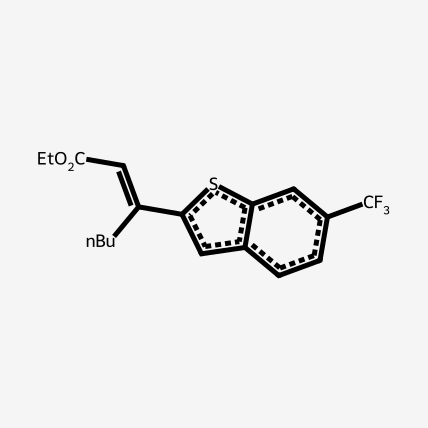 CCCC/C(=C\C(=O)OCC)c1cc2ccc(C(F)(F)F)cc2s1